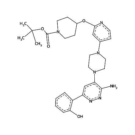 CC(C)(C)OC(=O)N1CCC(Oc2cc(N3CCN(c4cc(-c5ccccc5O)nnc4N)CC3)ccn2)CC1